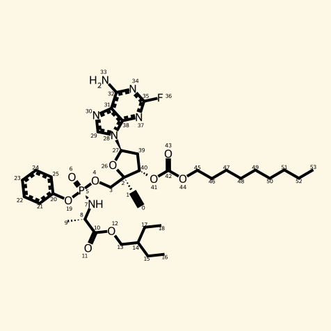 C#C[C@]1(CO[P@@](=O)(N[C@@H](C)C(=O)OCC(CC)CC)Oc2ccccc2)O[C@@H](n2cnc3c(N)nc(F)nc32)C[C@@H]1OC(=O)OCCCCCCCCC